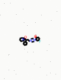 COc1ccc(F)cc1N1CCN(CCC(C(=O)N2C3CCCC2CC3)c2ccccc2)CC1